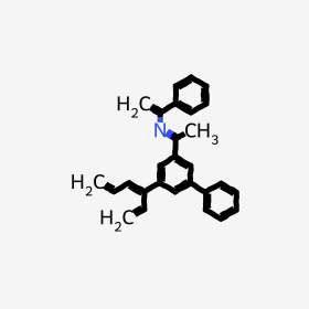 C=C/C=C(\C=C)c1cc(/C(C)=N/C(=C)c2ccccc2)cc(-c2ccccc2)c1